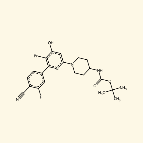 CC(C)(C)OC(=O)NC1CCN(c2cc(O)c(Br)c(-c3ccc(C#N)c(F)c3)n2)CC1